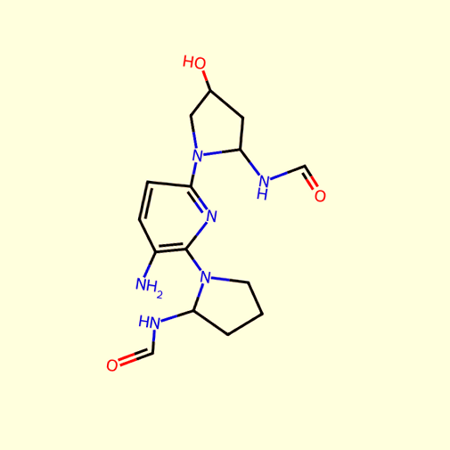 Nc1ccc(N2CC(O)CC2NC=O)nc1N1CCCC1NC=O